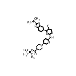 CN(C)c1nc2ccc(-c3nc(Nc4ccc(N5CCN(C(=O)OC(C)(C)C)CC5)cn4)ncc3F)cc2s1